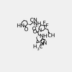 C#CCC1CN(C(=O)[C@@H](CC2CC2)Nc2cnn(C)c2)[C@H](C(=O)N[C@H](C#N)C[C@@H]2CCCNC2=O)CC1(F)F